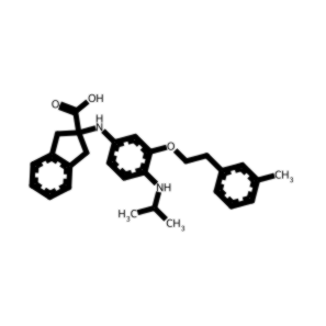 Cc1cccc(CCOc2cc(NC3(C(=O)O)Cc4ccccc4C3)ccc2NC(C)C)c1